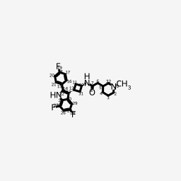 CN1CCCC(CC(=O)N[C@H]2C[C@@H](c3c(-c4ccc(F)cc4)[nH]c4c(F)cc(F)cc43)C2)C1